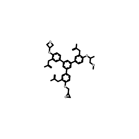 C=C(C)Cc1cc(-c2cc(-c3ccc(OC(C)COC)c(CC(=C)C)c3)cc(-c3ccc(OC4COC4)c(CC(=C)C)c3)c2)ccc1OCC1CO1